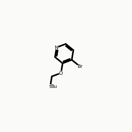 CC(C)(C)COc1cnccc1Br